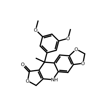 COc1cc(OC)cc(C2(C)C3=C(COC3=O)Nc3cc4c(cc32)OCO4)c1